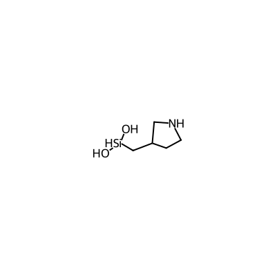 O[SiH](O)CC1CCNC1